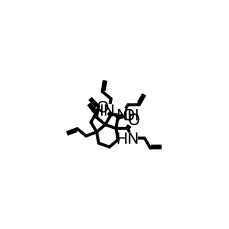 C=CCNC(=O)C1(C(=O)NCC=C)CCCC(CC=C)(CC=C)C1(CC=C)C(=O)NCC=C